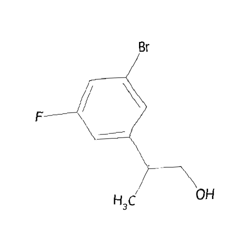 C[C](CO)c1cc(F)cc(Br)c1